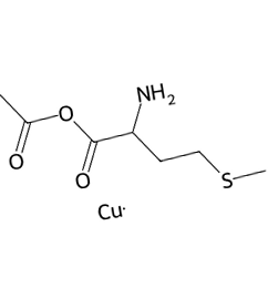 CSCCC(N)C(=O)OC(C)=O.[Cu]